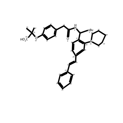 CCCCC(NC(=O)Cc1ccc(OC(C)(C)C(=O)O)cc1)c1ccc(C=Cc2ccccc2)cc1N1CCCCC1